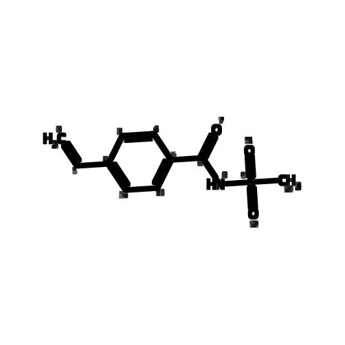 C=Cc1ccc(C(=O)NS(C)(=O)=O)cc1